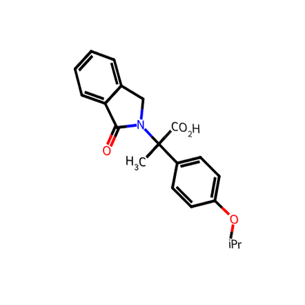 CC(C)Oc1ccc(C(C)(C(=O)O)N2Cc3ccccc3C2=O)cc1